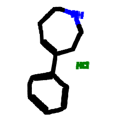 C1=C(c2ccccc2)CCNCC1.Cl